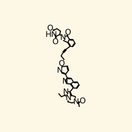 CCc1nc(-c2cccc3cc(-c4ccc(OCCC#Cc5cccc6c5CN(C5CCC(=O)NC5=O)C6=O)nc4)ncc23)c2n1CCN(C(C)=O)C2